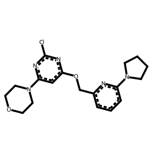 Clc1nc(OCc2cccc(N3CCCC3)n2)cc(N2CCOCC2)n1